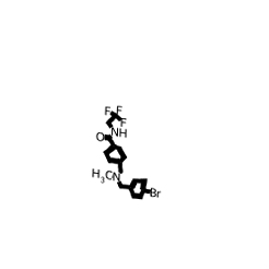 CN(Cc1ccc(Br)cc1)Cc1ccc(C(=O)NCC(F)(F)F)cc1